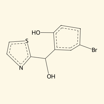 Oc1ccc(Br)cc1C(O)c1nccs1